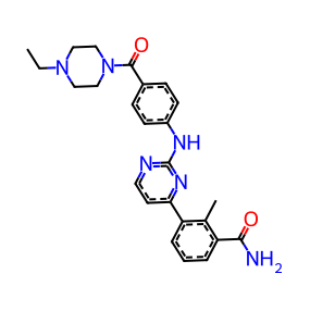 CCN1CCN(C(=O)c2ccc(Nc3nccc(-c4cccc(C(N)=O)c4C)n3)cc2)CC1